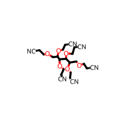 N#CCCOCC(OCCC#N)C(OCCC#N)C(OCCC#N)C(COCCC#N)OCCC#N